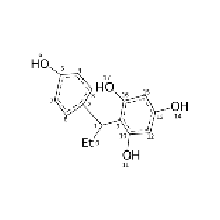 CCC(c1ccc(O)cc1)c1c(O)cc(O)cc1O